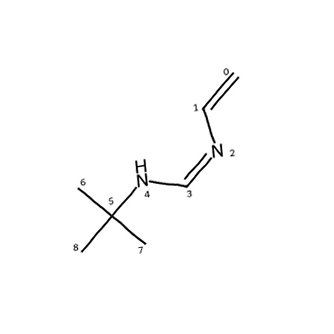 C=C/N=C\NC(C)(C)C